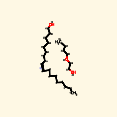 CCCCCCCC/C=C\CCCCCCCCO.CCCCOCCO